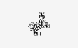 CS(=O)(=O)CCCn1c(CN2c3ccccc3[C@]3(C[C@@H](O)C3)C2=O)nc2cc(Cl)ccc21